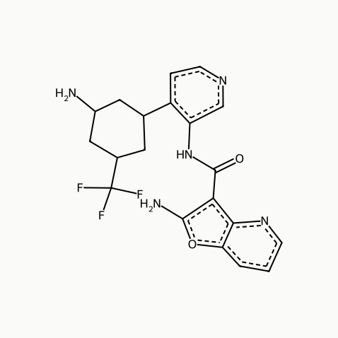 Nc1oc2cccnc2c1C(=O)Nc1cnccc1C1CC(N)CC(C(F)(F)F)C1